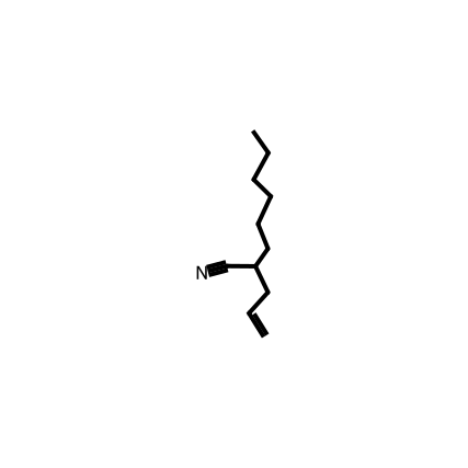 C=CCC(C#N)CCCCCC